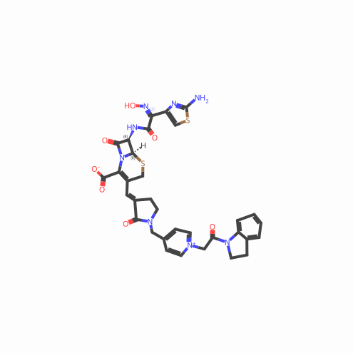 Nc1nc(/C(=N/O)C(=O)N[C@@H]2C(=O)N3C(C(=O)[O-])=C(C=C4CCN(Cc5cc[n+](CC(=O)N6CCc7ccccc76)cc5)C4=O)CS[C@H]23)cs1